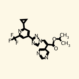 CC(C)OC(=O)/C(=C/n1cnc(-c2cc(C3CC3)nc(C(F)(F)F)c2)n1)c1cncnc1